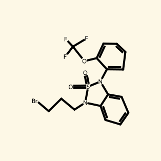 O=S1(=O)N(CCCBr)c2ccccc2N1c1ccccc1OC(F)(F)F